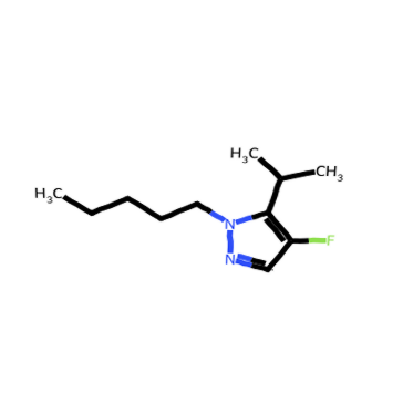 CCCCCn1n[c]c(F)c1C(C)C